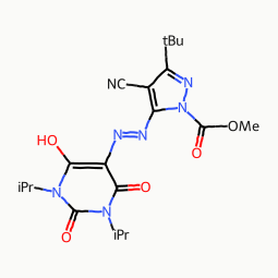 COC(=O)n1nc(C(C)(C)C)c(C#N)c1N=Nc1c(O)n(C(C)C)c(=O)n(C(C)C)c1=O